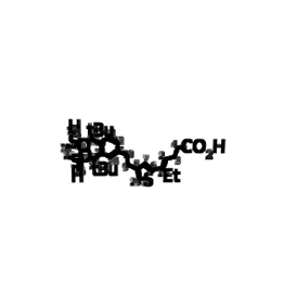 CCC(=CCCC(=O)O)c1cc(CCc2ccc(C(O[SiH](C)C)C(C)(C)C)c(C(O[SiH](C)C)C(C)(C)C)c2)cs1